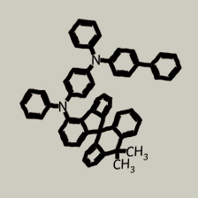 CC1(C)c2ccccc2C2(c3ccccc3-c3c(N(c4ccccc4)c4ccc(N(c5ccccc5)c5ccc(-c6ccccc6)cc5)cc4)cccc32)c2ccccc21